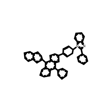 C1=CC(n2c(-c3ccccc3)nc3ccccc32)CC=C1c1ccc2c(-c3ccc4ccccc4c3)c3ccccc3c(-c3ccccc3)c2c1